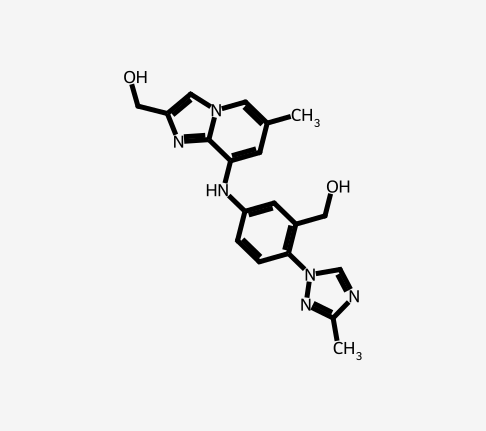 Cc1cc(Nc2ccc(-n3cnc(C)n3)c(CO)c2)c2nc(CO)cn2c1